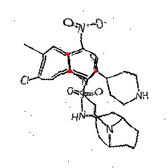 Cc1ccc(N(CCCN2C3CCC2CC(NS(=O)(=O)c2ccc([N+](=O)[O-])cc2)C3)C(=O)C2CCNCC2)cc1Cl